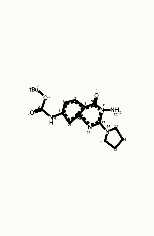 CC(C)(C)OC(=O)Nc1ccc2c(=O)n(N)c(N3CCCC3)nc2c1